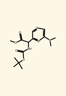 COC(=O)C(NC(=O)OC(C)(C)C)c1cncc(N(C)C)n1